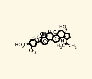 C=C(C)[C@@H]1CC[C@]2(CO)CC[C@]3(C)[C@H](CC[C@@H]4[C@@]5(C)CC=C(c6ccc(C(=O)O)c(C(F)(F)F)c6)C(C)(C)[C@@H]5CC[C@]43C)[C@@H]12